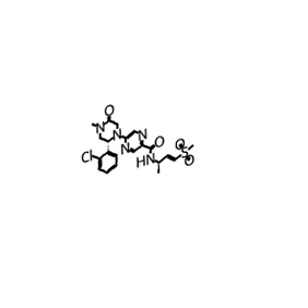 C[C@H](/C=C/S(C)(=O)=O)NC(=O)c1cnc(N2CC(=O)N(C)C[C@H]2c2ccccc2Cl)cn1